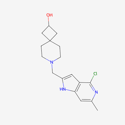 Cc1cc2[nH]c(CN3CCC4(CC3)CC(O)C4)cc2c(Cl)n1